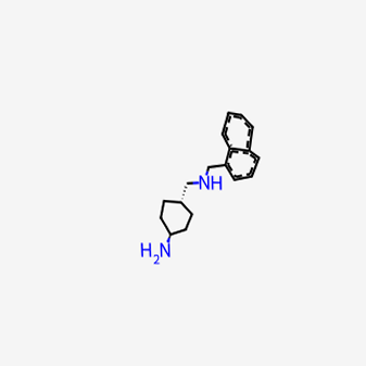 N[C@H]1CC[C@H](CNCc2cccc3ccccc23)CC1